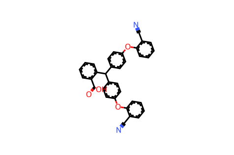 N#Cc1ccccc1Oc1ccc(C(c2ccc(Oc3ccccc3C#N)cc2)c2ccccc2C(=O)O)cc1